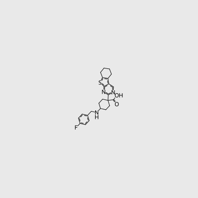 O=C(O)C1(c2ncc3c4c(sc3n2)CCCC4)CCC(NCc2ccc(F)cc2)CC1